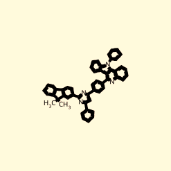 CC1(C)c2ccccc2-c2ccc(-c3nc(-c4ccccc4)cc(-c4ccc(-c5nc6ccccc6c6c5c5ccccc5n6-c5ccccc5)cc4)n3)cc21